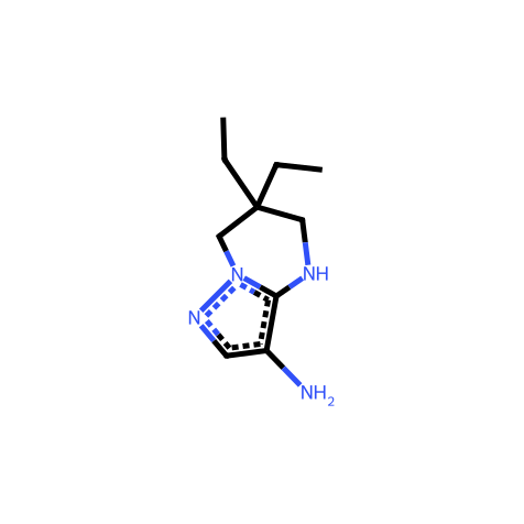 CCC1(CC)CNc2c(N)cnn2C1